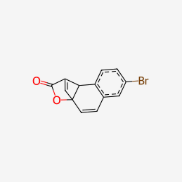 O=C1OC23C=Cc4cc(Br)ccc4C2C1=C3